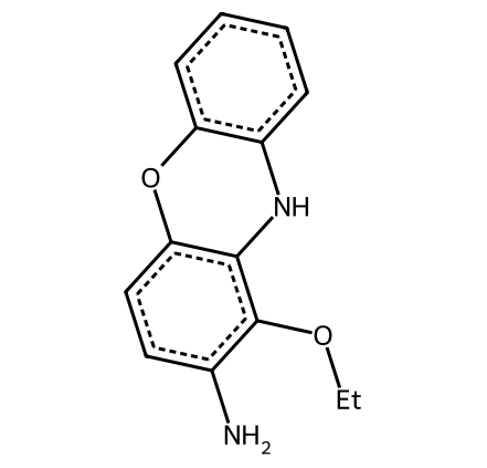 CCOc1c(N)ccc2c1Nc1ccccc1O2